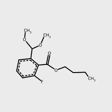 CCCCOC(=O)c1c(F)cccc1C(OC)OC